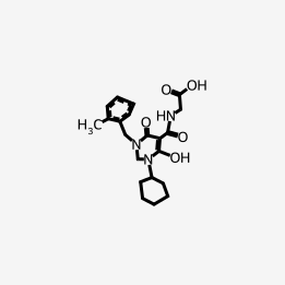 Cc1ccccc1CN1CN(C2CCCCC2)C(O)=C(C(=O)NCC(=O)O)C1=O